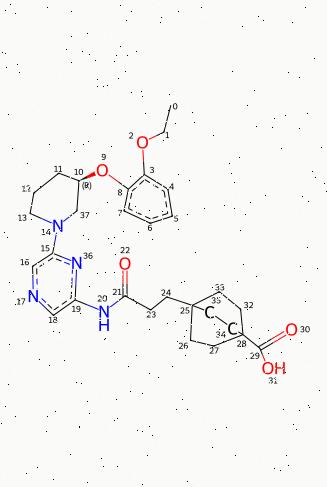 CCOc1ccccc1O[C@@H]1CCCN(c2cncc(NC(=O)CCC34CCC(C(=O)O)(CC3)CC4)n2)C1